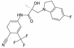 C[C@](O)(CN1CCc2cc(F)ccc21)C(=O)NC1=CCC(C#N)C(C(F)(F)F)=C1